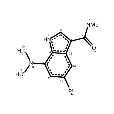 CNC(=O)c1c[nH]c2c(N(C)C)cc(Br)cc12